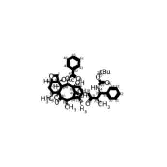 CC(=O)O[C@@]12CO[C@@H]1C[C@H](C)[C@@]1(C)C(=O)[C@H](C)C3=C(C)[C@@H](CC(=O)[C@H](C)[C@@H](NC(=O)OC(C)(C)C)c4ccccc4)C[C@@](O)([C@@H](OC(=O)c4ccccc4)[C@H]21)C3(C)C